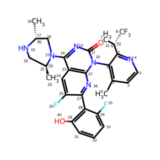 Cc1ccnc([C@H](C)C(F)(F)F)c1-n1c(=O)nc(N2C[C@@H](C)NC[C@@H]2C)c2cc(F)c(-c3c(O)cccc3F)nc21